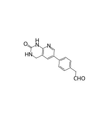 O=CCc1ccc(-c2cnc3c(c2)CNC(=O)N3)cc1